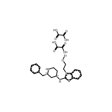 CCOCCn1c(N[C@@H]2CCN[C@H](Cc3ccccc3)C2)nc2ccccc21.O=C(O)C(=O)O.O=C(O)C(=O)O